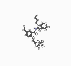 CCCCn1/c(=N/C(=O)c2cc(CC)ccc2OC[C@H](C)OS(=O)(=O)OI)sc2ccncc21